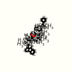 CC[C@H](C)[C@@H](C(CC(=O)N1CCC[C@H]1[C@H](OC)[C@@H](C)C(=O)N[C@H](C)[C@@H](O)c1ccccc1)OC)N(C)C(=O)[C@@H](NC(=O)[C@H](C(C)C)N(C)C(=O)OCC1c2ccccc2-c2ccccc21)C(C)C